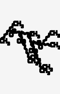 CCCCCCC(CCCC)C(=O)OCCN(CCCN(C)CCCN(CCOC(=O)C(CCCC)CCCCCC)CCC(=O)OCCCCCCCC(C)C)CCC(=O)OCCCCCCCC(C)C